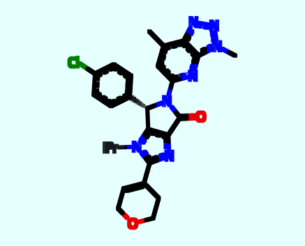 Cc1cc(N2C(=O)c3nc(C4=CCOCC4)n(C(C)C)c3[C@@H]2c2ccc(Cl)cc2)nc2c1nnn2C